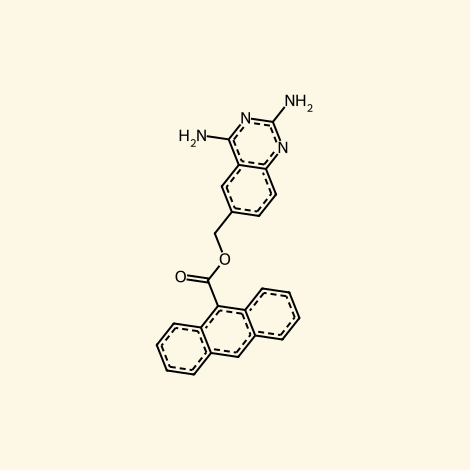 Nc1nc(N)c2cc(COC(=O)c3c4ccccc4cc4ccccc34)ccc2n1